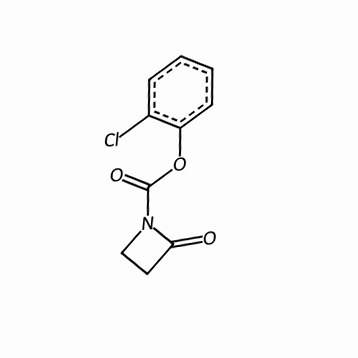 O=C1CCN1C(=O)Oc1ccccc1Cl